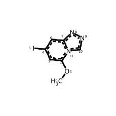 COc1cc(I)cc2nncn12